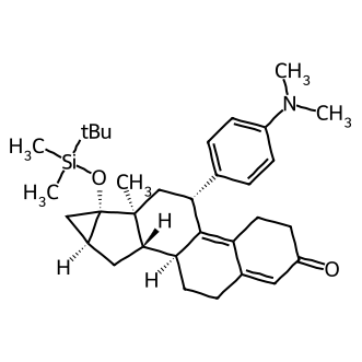 CN(C)c1ccc([C@H]2C[C@@]3(C)[C@@H](C[C@H]4C[C@]43O[Si](C)(C)C(C)(C)C)[C@@H]3CCC4=CC(=O)CCC4=C32)cc1